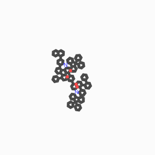 c1ccc(-c2ccccc2-c2ccccc2-c2ccccc2N(c2ccc(-c3ccc(-c4ccc5c(c4)-c4c(-c6ccccc6-c6ccccc6)cccc4-c4ccc(-c6cccc7ccccc67)cc4N5c4cccc5c4-c4ccccc4C5(c4ccccc4)c4ccccc4)cc3)cc2)c2cccc3c2-c2ccccc2C3(c2ccccc2)c2ccccc2)cc1